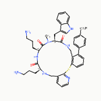 CN1C(=O)[C@H](CCCN)NC(=O)[C@H](CCCN)NCc2cccnc2Sc2cccc(-c3ccc(C(=O)O)cc3)c2CNC(=O)[C@@H]1Cc1c[nH]c2ccccc12